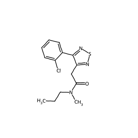 CCCN(C)C(=O)Cc1nsnc1-c1ccccc1Cl